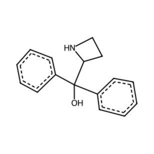 OC(c1ccccc1)(c1ccccc1)C1CCN1